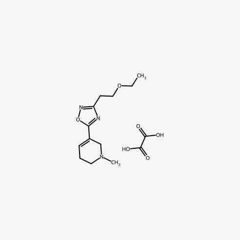 CCOCCc1noc(C2=CCCN(C)C2)n1.O=C(O)C(=O)O